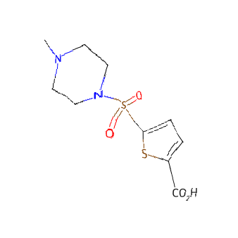 CN1CCN(S(=O)(=O)c2ccc(C(=O)O)s2)CC1